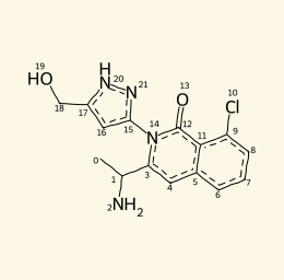 CC(N)c1cc2cccc(Cl)c2c(=O)n1-c1cc(CO)[nH]n1